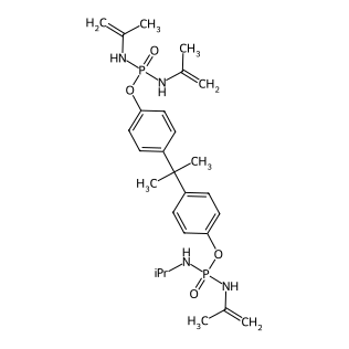 C=C(C)NP(=O)(NC(=C)C)Oc1ccc(C(C)(C)c2ccc(OP(=O)(NC(=C)C)NC(C)C)cc2)cc1